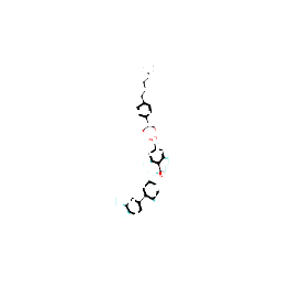 CCCCCc1ccc(C2COC(c3cc(F)c(C(F)(F)Oc4ccc(-c5cc(F)c(F)c(F)c5)c(F)c4)c(F)c3)OC2)cc1